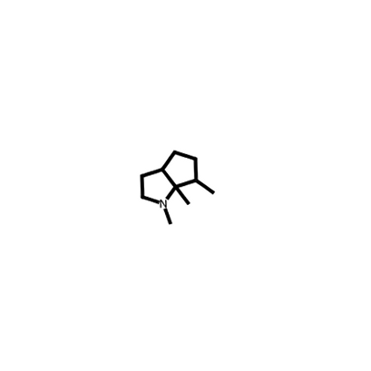 CC1CCC2CCN(C)C12C